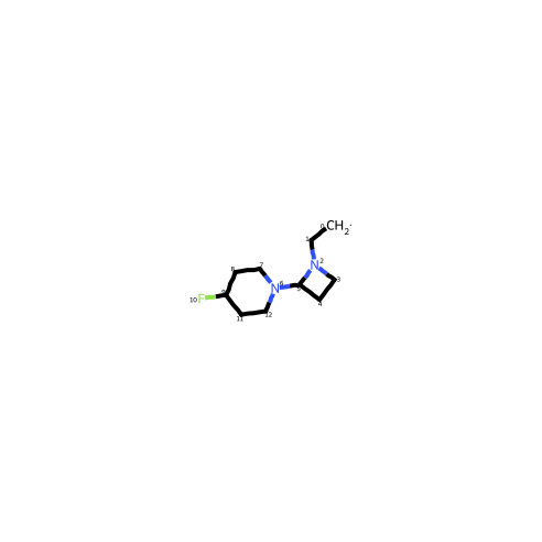 [CH2]CN1CCC1N1CCC(F)CC1